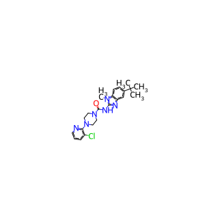 Cn1c(NC(=O)N2CCN(c3ncccc3Cl)CC2)nc2cc(C(C)(C)C)ccc21